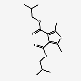 Cc1sc(C)c(C(=O)OCC(C)C)c1C(=O)OCC(C)C